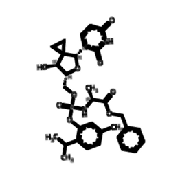 Cc1ccc(C(C)C)c(OP(=O)(N[C@@H](C)C(=O)OCc2ccccc2)OC[C@H]2O[C@@H](n3ccc(=O)[nH]c3=O)C3(CC3)[C@@H]2O)c1